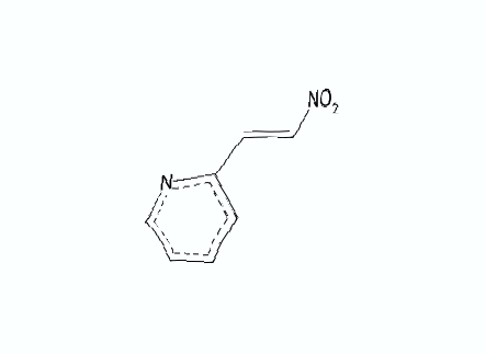 O=[N+]([O-])/C=C/c1ccccn1